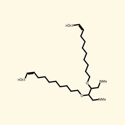 CCCCCCCC/C=C\CCCCCCCCOC(CNC)C(CNC)OCCCCCCCC/C=C\CCCCCCCC